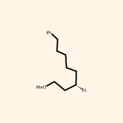 CC[C@@H](CCCCCC(C)C)CCOC